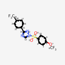 O=S(=O)(c1ccc(OC(F)(F)F)cc1)n1cnc(-c2ccc(C(F)(F)F)cc2)n1